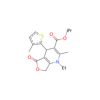 CCN1C(C)=C(C(=O)OC(C)C)C(c2sccc2C)C2=C1COC2=O